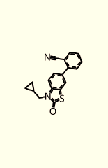 N#Cc1ccccc1-c1ccc2c(c1)sc(=O)n2CC1CC1